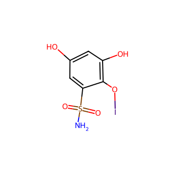 NS(=O)(=O)c1cc(O)cc(O)c1OI